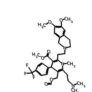 COC(=O)C1=C(CCN2CCc3cc(OC)c(OC)cc3C2)N(C)C(CCN(C)C)=C(COC=O)C1c1ccc(C(F)(F)F)cc1